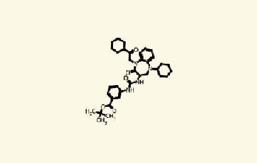 CC(C)(C)OC(=O)c1cccc(NC(=O)NC2CN(C3CCCCC3)c3ccccc3N(CC(=O)C3CCCCC3)C2=O)c1